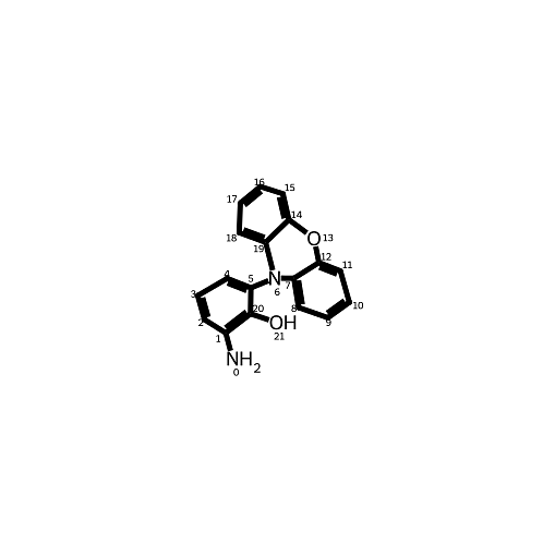 Nc1cccc(N2c3ccccc3Oc3ccccc32)c1O